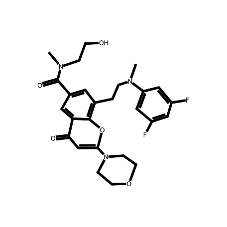 CN(CCO)C(=O)c1cc(CCN(C)c2cc(F)cc(F)c2)c2oc(N3CCOCC3)cc(=O)c2c1